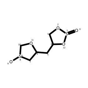 O=S1OCC(CC2C[S+]([O-])CO2)O1